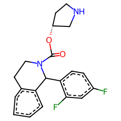 O=C(O[C@@H]1CCNC1)N1CCc2ccccc2C1c1ccc(F)cc1F